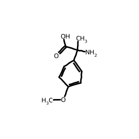 COc1ccc(C(C)(N)C(=O)O)cc1